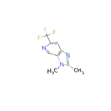 Cc1nc2cc(C(F)(F)F)ncc2n1C